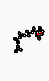 c1ccc(-n2c3ccccc3c3cc(-c4ccc5c(c4)c4ccccc4n5-c4ccc5c(c4)c4ccccc4n5-c4ccc(-c5cccc6c5c5ccccc5n6-c5ccc6c(c5)c5ccccc5n6-c5ccc(-c6ccccc6-n6c7ccccc7c7ccccc76)c(-n6c7ccccc7c7ccccc76)c5)cc4)ccc32)cc1